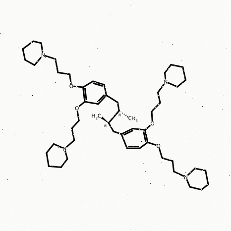 C[C@H](Cc1ccc(OCCCN2CCCCC2)c(OCCCN2CCCCC2)c1)[C@@H](C)Cc1ccc(OCCCN2CCCCC2)c(OCCCN2CCCCC2)c1